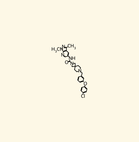 Cc1nn(C)c2ncc(NC(=O)N3CC4(CCN(Cc5cccc(Oc6ccc(Cl)cc6)c5)CC4)C3)cc12